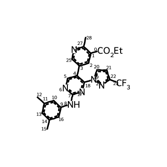 CCOC(=O)c1cc(-c2cnc(Nc3cc(C)cc(C)c3)nc2-n2ccc(C(F)(F)F)n2)cnc1C